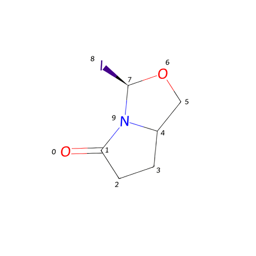 O=C1CCC2CO[C@H](I)N12